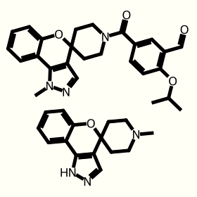 CC(C)Oc1ccc(C(=O)N2CCC3(CC2)Oc2ccccc2-c2c3cnn2C)cc1C=O.CN1CCC2(CC1)Oc1ccccc1-c1[nH]ncc12